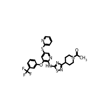 CC(=O)N1CCC(c2nsc(Nc3ncc(Sc4ccccn4)cc3Oc3cccc(C(F)(F)F)c3)n2)CC1